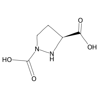 O=C(O)[C@@H]1CCN(C(=O)O)N1